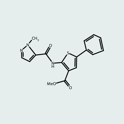 COC(=O)c1cc(-c2ccccc2)sc1NC(=O)c1ccnn1C